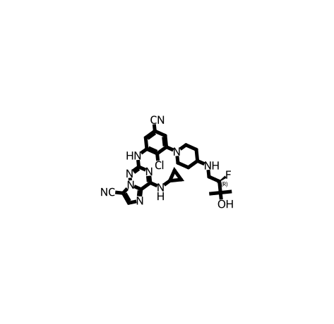 CC(C)(O)[C@H](F)CNC1CCN(c2cc(C#N)cc(Nc3nc(NC4CC4)c4ncc(C#N)n4n3)c2Cl)CC1